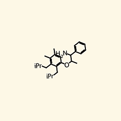 Cc1cc(OC(C)C(N)c2ccccc2)c(CC(C)C)c(CC(C)C)c1C